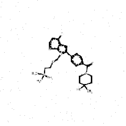 CC1(O)CCN(C(=O)c2ccc(-c3cc4c(Cl)ccnc4n3COCC[Si](C)(C)C)cc2)CC1